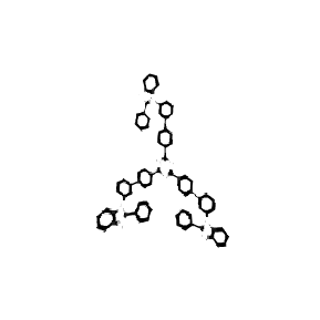 c1ccc(-c2nc3ccccc3n2-c2cccc(-c3ccc(-c4nc(-c5ccc(-c6cccc(-n7c(-c8ccccc8)nc8ccccc87)c6)cc5)nc(-c5ccc(-c6cccc(-n7c(-c8ccccc8)nc8ccccc87)c6)cc5)n4)cc3)c2)cc1